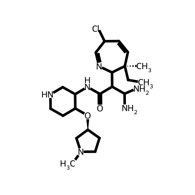 CC[C@]1(C)C=CC(Cl)C=NC1C(C(=O)NC1CNCCC1O[C@H]1CCN(C)C1)C(N)N